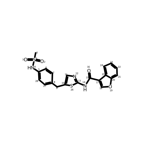 CS(=O)(=O)Nc1ccc(Cc2cnc(NC(=O)c3coc4ccccc34)s2)cc1